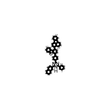 c1ccc(C2N=C(c3ccc(-c4ccc(-c5ccc6c7c(cccc57)-c5ccccc5-6)c5c4oc4ccccc45)cc3)N=C(c3ccc4ccccc4c3)N2)cc1